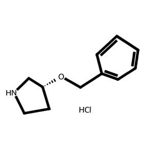 Cl.c1ccc(CO[C@@H]2CCNC2)cc1